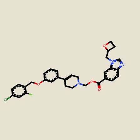 O=C(OCN1CC=C(c2cccc(OCc3ccc(Cl)cc3F)c2)CC1)c1ccc2ncn(CC3CCO3)c2c1